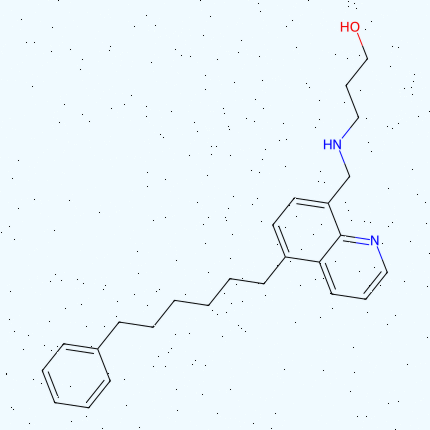 OCCCNCc1ccc(CCCCCCc2ccccc2)c2cccnc12